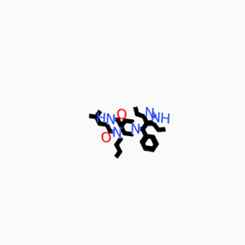 CCCCN1C(=O)C(CC(C)C)NC(=O)C12CCN(C(c1ccccc1)c1c(CC)n[nH]c1CC)CC2